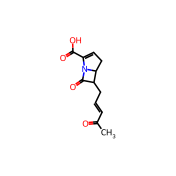 CC(=O)C=CCC1C(=O)N2C(C(=O)O)=CCC12